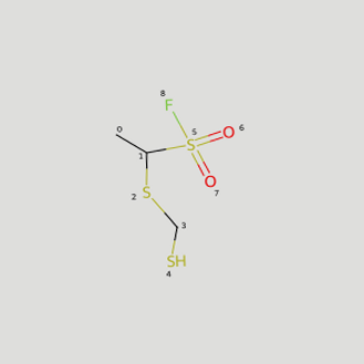 CC(SCS)S(=O)(=O)F